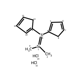 C[Si](C)=[Ti]([C]1=CC=CC1)[C]1=CC=CC1.Cl.Cl